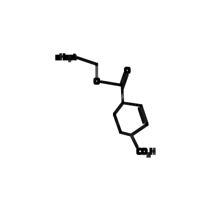 CCCCCCCCOC(=O)C1C=CC(C(=O)O)CC1